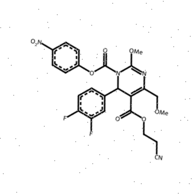 COCC1=C(C(=O)OCCC#N)C(c2ccc(F)c(F)c2)N(C(=O)Oc2ccc([N+](=O)[O-])cc2)C(OC)=N1